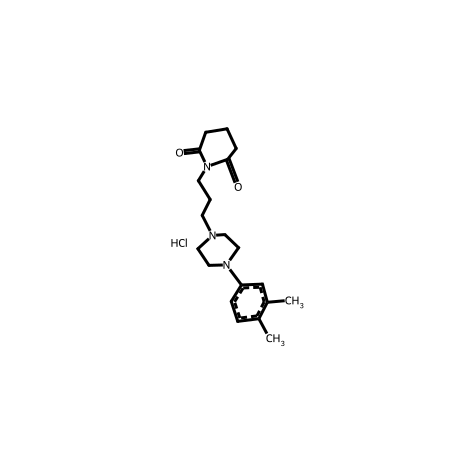 Cc1ccc(N2CCN(CCCN3C(=O)CCCC3=O)CC2)cc1C.Cl